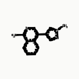 Cn1cc(-c2cnc(N)c3ccccc23)cn1